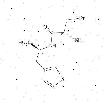 CC(C)C[C@H](N)C(=O)N[C@@H](Cc1ccsc1)C(=O)O